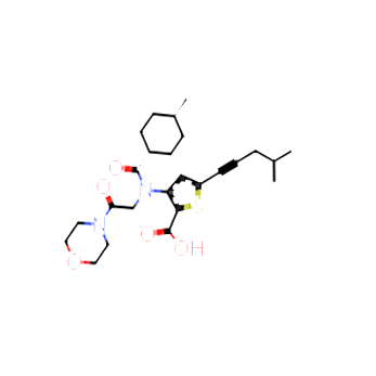 CC(C)CC#Cc1cc(N(CC(=O)N2CCOCC2)C(=O)[C@H]2CC[C@H](C)CC2)c(C(=O)O)s1